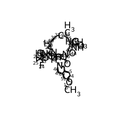 CCOc1ccc2c(O[C@@H]3C[C@H]4C(=O)N[C@]5(C(=O)NS(=O)(=O)C6(CF)CC6)C[C@H]5C=CCC[C@H](C)C[C@@H](C)[C@H](NC(=O)O)C(=O)N4C3)nccc2c1